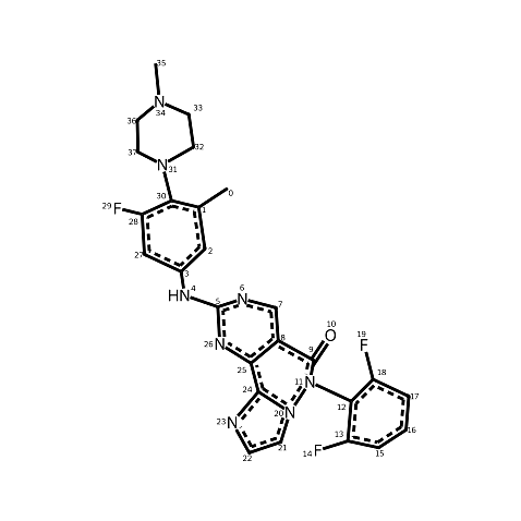 Cc1cc(Nc2ncc3c(=O)n(-c4c(F)cccc4F)n4ccnc4c3n2)cc(F)c1N1CCN(C)CC1